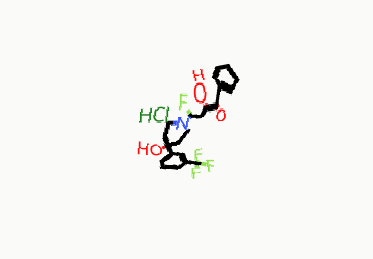 Cl.O=C(c1ccccc1)C(O)CC(F)N1CCC(O)(c2cccc(C(F)(F)F)c2)CC1